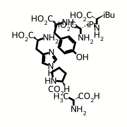 CC(C)[C@H](N)C(=O)O.CC[C@H](C)[C@H](N)C(=O)O.C[C@@H](N)C(=O)O.N[C@@H](Cc1c[nH]cn1)C(=O)O.N[C@@H](Cc1ccc(O)cc1)C(=O)O.O=C(O)[C@@H]1CCCN1